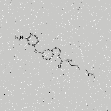 CCCCCNC(=O)n1ccc2cc(Oc3ccnc(N)c3)ccc21